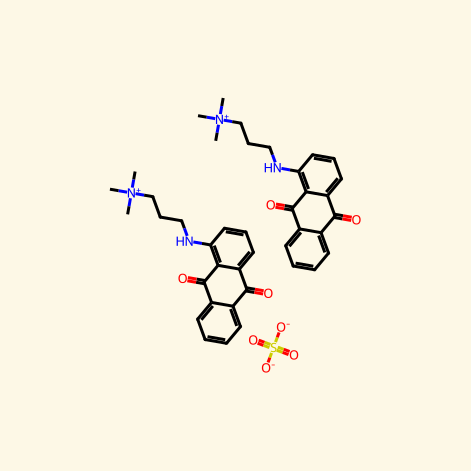 C[N+](C)(C)CCCNc1cccc2c1C(=O)c1ccccc1C2=O.C[N+](C)(C)CCCNc1cccc2c1C(=O)c1ccccc1C2=O.O=S(=O)([O-])[O-]